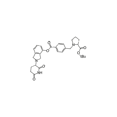 CC(C)(C)OC(=O)C1CCCN1Cc1ccc(C(=O)Oc2cccc3c2CN(C2CCC(=O)NC2=O)C3)cc1